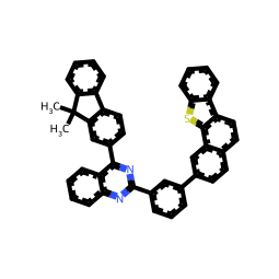 CC1(C)c2ccccc2-c2ccc(-c3nc(-c4cccc(-c5ccc6ccc7c8ccccc8sc7c6c5)c4)nc4ccccc34)cc21